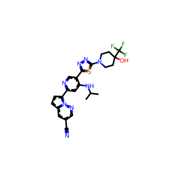 CC(C)Nc1cc(-c2ccc3cc(C#N)cnn23)ncc1-c1nnc(N2CCC(O)(C(F)(F)F)CC2)s1